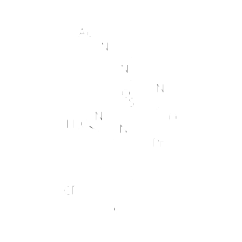 CC(=O)N1CCN(C(=O)[C@@H]2CCCN2C(=O)C2=C(C(C)C)N3C(=N[C@@](C)(c4ccc(Cl)cc4)[C@H]3c3ccc(Cl)cc3)S2)CC1